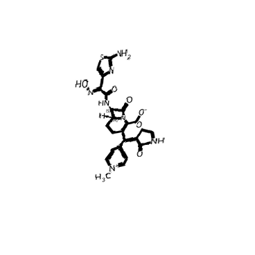 C[n+]1ccc(C(=C2CCNC2=O)C2=C(C(=O)[O-])N3C(=O)[C@@H](NC(=O)C(=NO)c4csc(N)n4)[C@H]3CC2)cc1